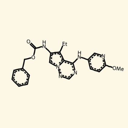 CCc1c(NC(=O)OCc2ccccc2)cn2ncnc(Nc3ccc(OC)nc3)c12